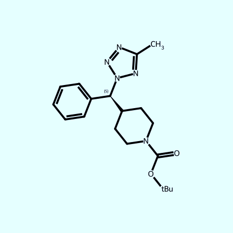 Cc1nnn([C@H](c2ccccc2)C2CCN(C(=O)OC(C)(C)C)CC2)n1